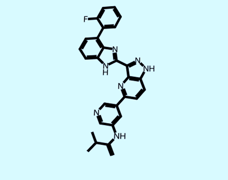 C=C(Nc1cncc(-c2ccc3[nH]nc(-c4nc5c(-c6ccccc6F)cccc5[nH]4)c3n2)c1)C(C)C